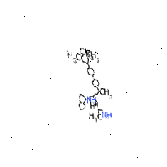 CCCC(CC(C)CC)C1CCC(C2=CCC(C(C)CCC(CNC3CCCC4CCCCC43)C3C4C(C(C=N)CC)[C@H]34)CC2)CC1